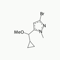 COC(c1cc(Br)nn1C)C1CC1